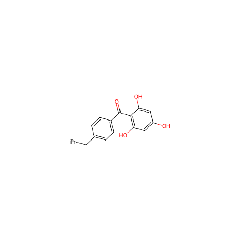 CC(C)Cc1ccc(C(=O)c2c(O)cc(O)cc2O)cc1